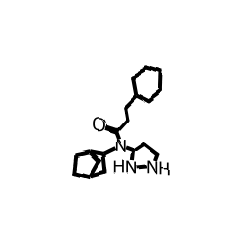 O=C(CCC1CCCCC1)N(C1CCNN1)C1CC2CCC1C2